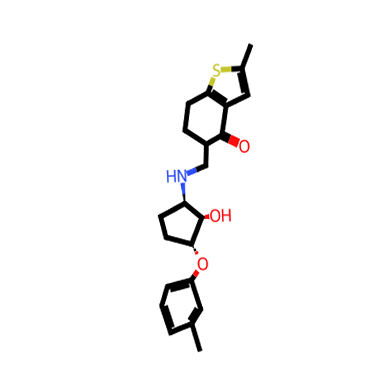 Cc1cccc(O[C@@H]2CC[C@@H](NCC3CCc4sc(C)cc4C3=O)[C@H]2O)c1